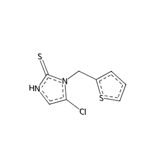 S=c1[nH]cc(Cl)n1Cc1cccs1